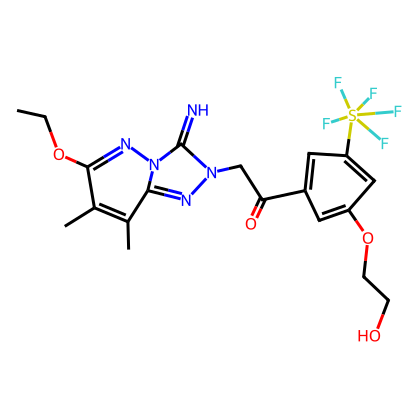 CCOc1nn2c(=N)n(CC(=O)c3cc(OCCO)cc(S(F)(F)(F)(F)F)c3)nc2c(C)c1C